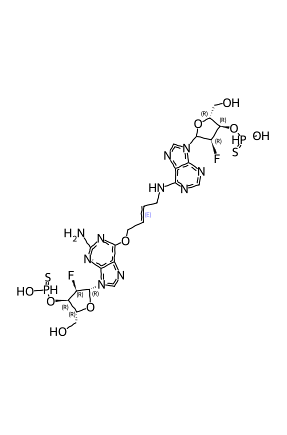 Nc1nc(OC/C=C/CNc2ncnc3c2ncn3C2O[C@H](CO)[C@@H](O[PH](O)=S)[C@H]2F)c2ncn([C@@H]3O[C@H](CO)[C@@H](O[PH](O)=S)[C@H]3F)c2n1